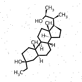 CC[C@]1(O)CC[C@@]2(C)[C@@H](CC[C@@H]3[C@@H]2CC[C@]2(C)[C@@H]([C@H](C)[C@H](C)O)CC[C@@H]32)C1